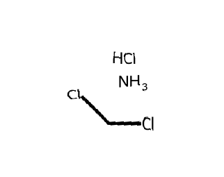 Cl.ClCCl.N